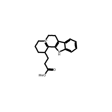 COC(=O)CCC1CCC[N+]2=C1c1[nH]c3ccccc3c1CC2